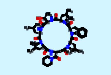 CC(C)C[C@@H]1NC(=O)[C@H]([C@@H](C)O)NC(=O)[C@H](CC(C)C)N(C)C(=O)[C@H](Cc2ccccc2)N(C)C(=O)[C@H](CC(C)C)N(C)C(=O)C[C@@H](C(=O)N2CCCCC2)NC(=O)[C@H](CC(C)C)N(C)C1=O